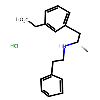 C[C@@H](Cc1cccc(CC(=O)O)c1)NCCc1ccccc1.Cl